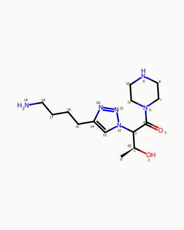 C[C@H](O)C(C(=O)N1CCNCC1)n1cc(CCCCN)nn1